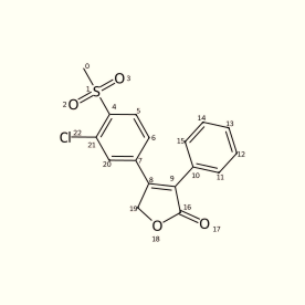 CS(=O)(=O)c1ccc(C2=C(c3ccccc3)C(=O)OC2)cc1Cl